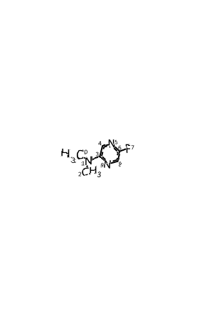 CN(C)c1cnc(F)cn1